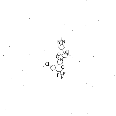 COC(C)CC(C(=O)Nc1ccn2nc(C)nc2c1)n1cc2c(cc1=O)-c1cc(Cl)ccc1CC(C(F)(F)F)CO2